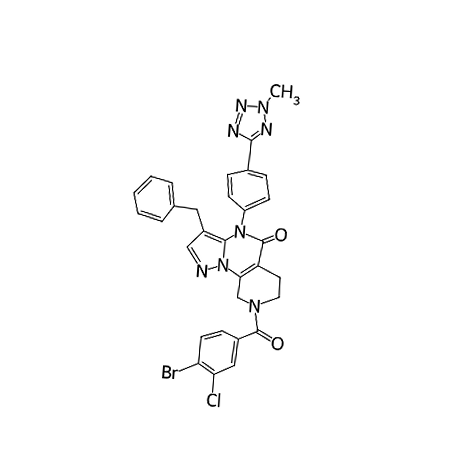 Cn1nnc(-c2ccc(-n3c(=O)c4c(n5ncc(Cc6ccccc6)c35)CN(C(=O)c3ccc(Br)c(Cl)c3)CC4)cc2)n1